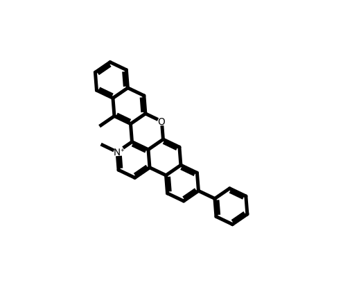 Cc1c2c(cc3ccccc13)Oc1cc3cc(-c4ccccc4)ccc3c3cc[n+](C)c-2c13